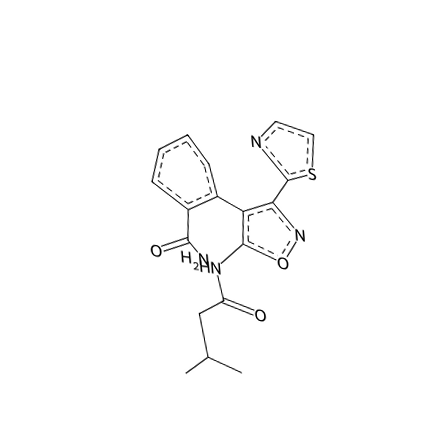 CC(C)CC(=O)Nc1onc(-c2nccs2)c1-c1ccccc1C(N)=O